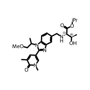 COCC(C)n1c(-c2cc(C)c(=O)n(C)c2)nc2cc(CN[C@H](C(=O)OC(C)C)[C@@H](C)O)ccc21